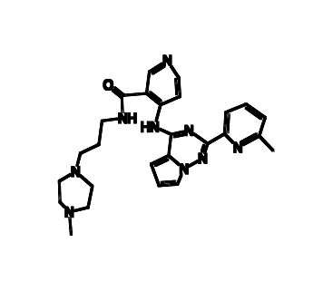 Cc1cccc(-c2nc(Nc3ccncc3C(=O)NCCCN3CCN(C)CC3)c3cccn3n2)n1